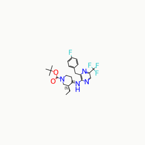 CC[C@H]1CN(C(=O)OC(C)(C)C)CC[C@@H]1Nc1ncc(C(F)(F)F)nc1Cc1ccc(F)cc1